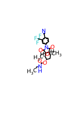 CCNC(=O)O[C@@H]1C[C@@]2(C)O[C@]1(C)[C@@H]1C(=O)N(c3ccc(C#N)c(C(F)(F)F)c3)C(=O)[C@@H]12